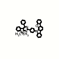 C[Si]1(C)c2ccccc2-c2c(-c3ccccc3)nc(-c3ccc(-n4c5ccccc5c5ccc6c7ccccc7oc6c54)cc3)nc21